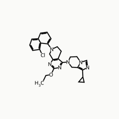 CCOc1nc2c(c(N3CCn4cnc(C5CC5)c4C3)n1)CCN(c1cccc3cccc(Cl)c13)C2